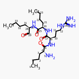 CCCC[C@@H](N)C(=O)N[C@H](CCCNC(=N)N)C(=O)N[C@H](CCCC)C(=O)N[C@@H]([C]=O)CCCC